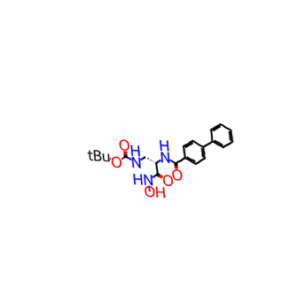 CC(C)(C)OC(=O)NC[C@H](NC(=O)c1ccc(-c2ccccc2)cc1)C(=O)NO